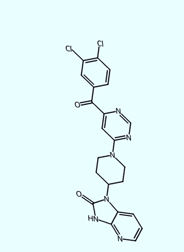 O=C(c1ccc(Cl)c(Cl)c1)c1cc(N2CCC(n3c(=O)[nH]c4ncccc43)CC2)ncn1